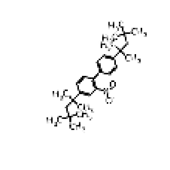 CC(C)(C)CC(C)(C)c1ccc(-c2ccc(C(C)(C)CC(C)(C)C)cc2[N+](=O)[O-])cc1